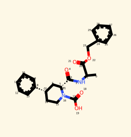 CC(NC(=O)[C@H]1C[C@@H](c2ccccc2)CCN1C(=O)O)C(=O)OCc1ccccc1